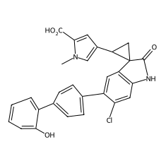 Cn1cc(C2CC23C(=O)Nc2cc(Cl)c(-c4ccc(-c5ccccc5O)cc4)cc23)cc1C(=O)O